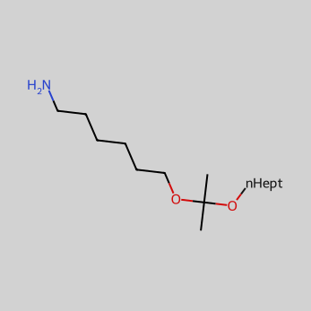 CCCCCCCOC(C)(C)OCCCCCCN